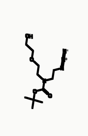 CC(C)(C)OC(=O)N(CCN=[N+]=[N-])CCOCCO